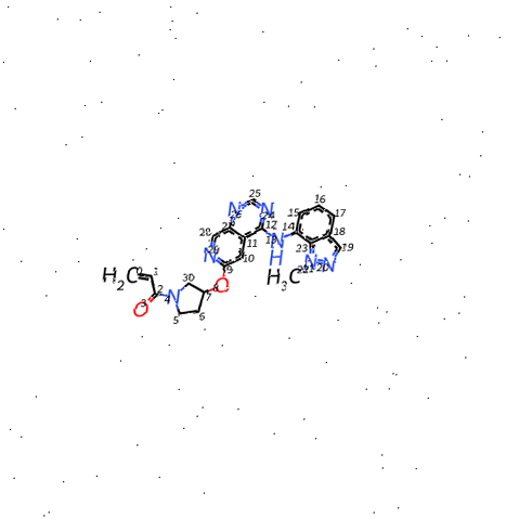 C=CC(=O)N1CCC(Oc2cc3c(Nc4cccc5cnn(C)c45)ncnc3cn2)C1